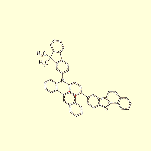 CC1(C)c2ccccc2-c2ccc(N(c3ccc(-c4ccc5sc6c7ccccc7ccc6c5c4)cc3)c3ccccc3-c3ccc4ccccc4c3)cc21